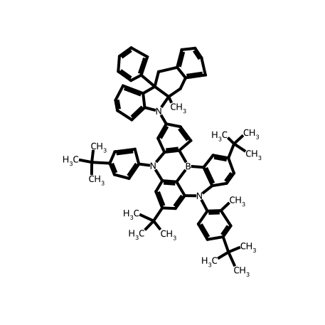 Cc1cc(C(C)(C)C)ccc1N1c2ccc(C(C)(C)C)cc2B2c3ccc(N4c5ccccc5C5(c6ccccc6)Cc6ccccc6CC45C)cc3N(c3ccc(C(C)(C)C)cc3)c3cc(C(C)(C)C)cc1c32